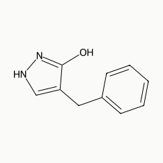 Oc1n[nH]cc1Cc1ccccc1